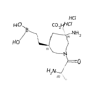 C[C@H](N)C(=O)N1C[C@@H](CCB(O)O)C[C@](N)(C(=O)O)C1.Cl.Cl